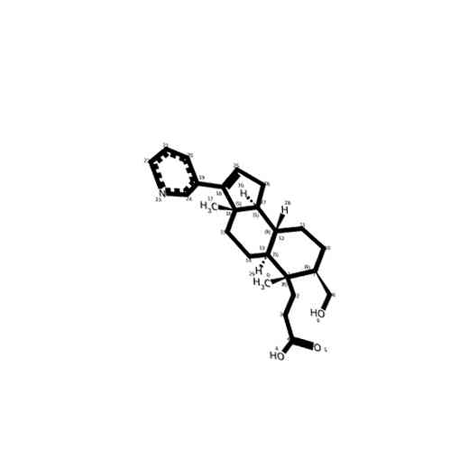 C[C@]1(CCC(=O)O)[C@H](CO)CC[C@@H]2[C@@H]1CC[C@]1(C)C(c3cccnc3)=CC[C@@H]21